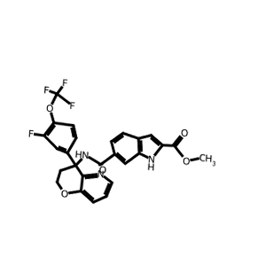 COC(=O)c1cc2ccc(C(=O)NC3(c4ccc(OC(F)(F)F)c(F)c4)CCOc4cccnc43)cc2[nH]1